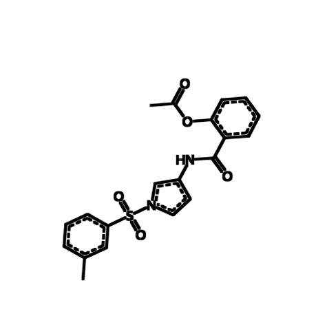 CC(=O)Oc1ccccc1C(=O)Nc1ccn(S(=O)(=O)c2cccc(C)c2)c1